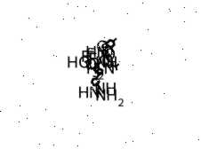 Cc1cc(C)c(S(=O)(=O)NC(CNC(=O)c2ccc(-c3cccc(NC(=N)N)c3)s2)C(=O)OCC(N)C(C)C)c(C)c1.O=C(O)C(F)(F)F